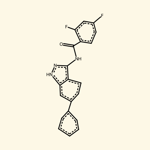 O=C(Nc1n[nH]c2cc(-c3ccccc3)ccc12)c1ccc(F)cc1F